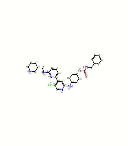 O=C(NCc1ccccc1)O[C@H]1CC[C@H](Nc2cc(-c3cccc(NC[C@H]4CCCNC4)n3)c(Cl)cn2)CC1